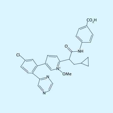 CO[n+]1cc(-c2cc(Cl)ccc2-c2cnccn2)ccc1C(CC1CC1)C(=O)Nc1ccc(C(=O)O)cc1